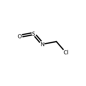 O=S=NCCl